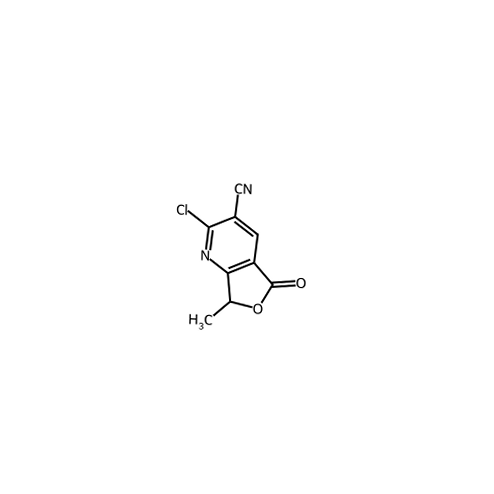 CC1OC(=O)c2cc(C#N)c(Cl)nc21